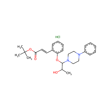 CC(O)C(Oc1ccccc1C=CC(=O)OC(C)(C)C)N1CCN(c2ccccc2)CC1.Cl